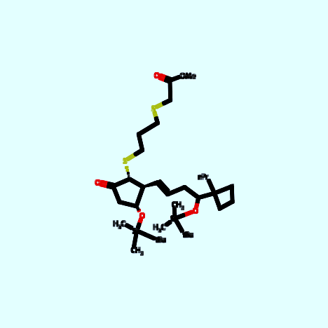 CCCC1(C(C/C=C/[C@H]2[C@H](O[Si](C)(C)C(C)(C)C)CC(=O)[C@@H]2SCCCSCC(=O)OC)O[Si](C)(C)C(C)(C)C)CCC1